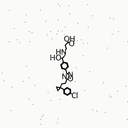 O=C(O)CCNCC(O)c1ccc(-c2noc(CCC3(c4ccc(Cl)cc4)CC3)n2)cc1